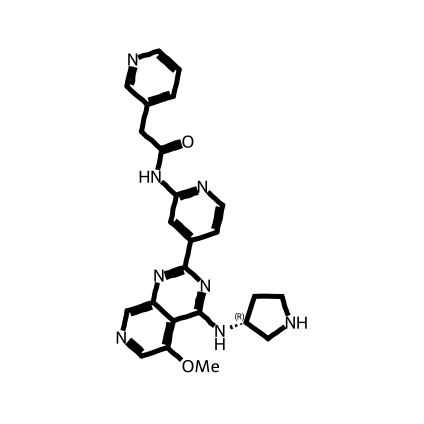 COc1cncc2nc(-c3ccnc(NC(=O)Cc4cccnc4)c3)nc(N[C@@H]3CCNC3)c12